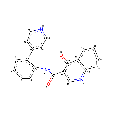 O=C(Nc1ccccc1-c1ccncc1)c1c[nH]c2ccccc2c1=O